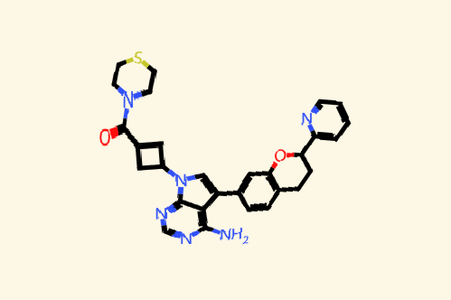 Nc1ncnc2c1c(-c1ccc3c(c1)OC(c1ccccn1)CC3)cn2C1CC(C(=O)N2CCSCC2)C1